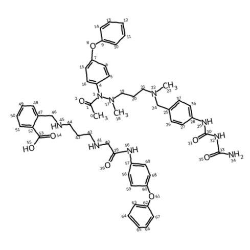 CC(=O)N(c1ccc(Oc2ccccc2)cc1)N(C)CCCN(C)Cc1ccc(NC(=O)NC(N)=O)cc1.O=C(CNCCCNCc1ccccc1C(=O)O)Nc1ccc(Oc2ccccc2)cc1